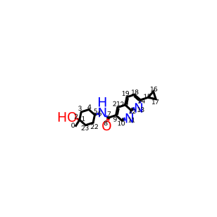 CC1(O)CCC(NC(=O)c2cnc3nc(C4CC4)ccc3c2)CC1